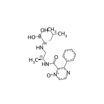 CC(C)C[C@H](NC[C@H](C)NC(=O)c1c(-c2ccccc2)ncc[n+]1[O-])B(O)O